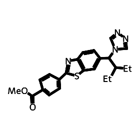 CCC(CC)C(c1ccc2nc(-c3ccc(C(=O)OC)cc3)sc2c1)n1cnnc1